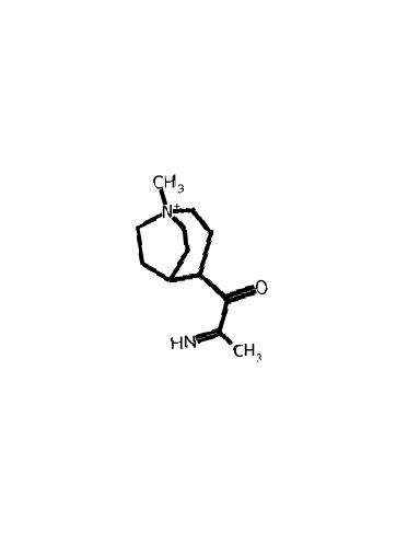 CC(=N)C(=O)C1CC[N+]2(C)CCC1CC2